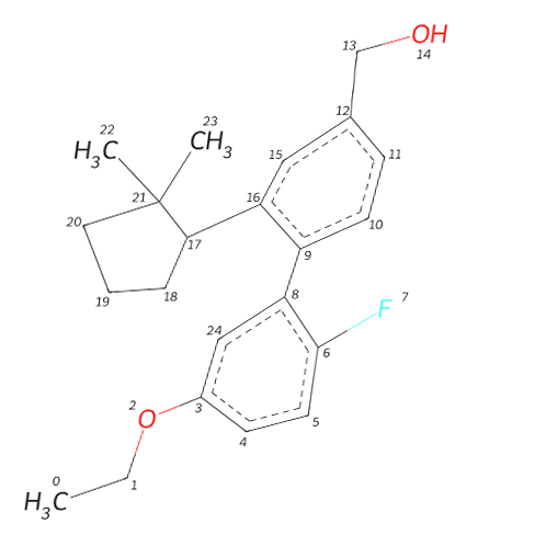 CCOc1ccc(F)c(-c2ccc(CO)cc2C2CCCC2(C)C)c1